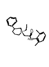 CC[N+]1(CC(=O)Nc2c(C)cccc2C)CCCC(c2ccccc2)C1